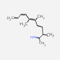 C=C/C=C\C(C)=C(/C)CCC(C)C(C)=N